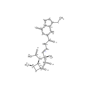 CCc1cnn2c(=O)cc(C(=O)N/N=C/[C@@](C)([C@H](C(=O)O)N3C(=O)C[C@H]3C)[SH](=O)=O)[nH]c12